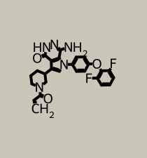 C=CC(=O)N1CCCC(c2cn(-c3ccc(Oc4c(F)cccc4F)cc3)c3c(N)n[nH]c(=O)c23)C1